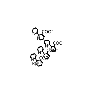 O=C([O-])c1cccnc1-c1ccccn1.O=C([O-])c1cccnc1-c1ccccn1.O=C([O-])c1cccnc1-c1ccccn1.O=C([O-])c1cccnc1-c1ccccn1.[Ru+4]